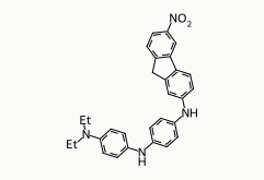 CCN(CC)c1ccc(Nc2ccc(Nc3ccc4c(c3)Cc3ccc([N+](=O)[O-])cc3-4)cc2)cc1